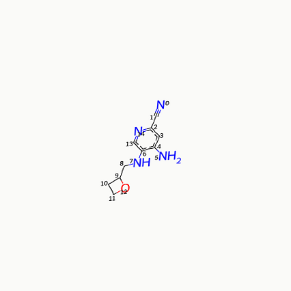 N#Cc1cc(N)c(NCC2CCO2)cn1